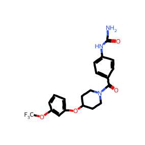 NC(=O)Nc1ccc(C(=O)N2CCC(Oc3cccc(OC(F)(F)F)c3)CC2)cc1